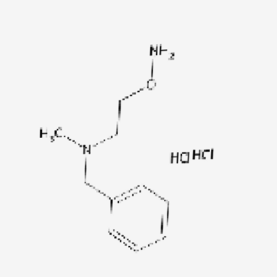 CN(CCON)Cc1ccccc1.Cl.Cl